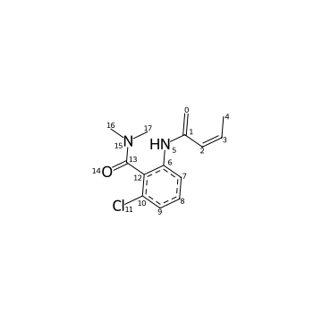 C=C(/C=C\C)Nc1cccc(Cl)c1C(=O)N(C)C